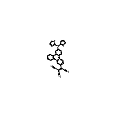 N#CC(C#N)=C(C#N)c1ccc2c3ccc(N(c4cccs4)c4cccs4)cc3c3ccccc3c2c1